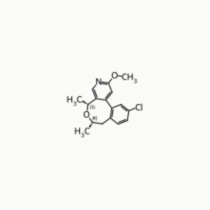 COc1cc2c(cn1)[C@H](C)O[C@H](C)Cc1ccc(Cl)cc1-2